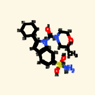 CC1CN(C(=O)n2c(C3CCCCC3)cc3ccc(S(N)(=O)=O)cc32)CCO1